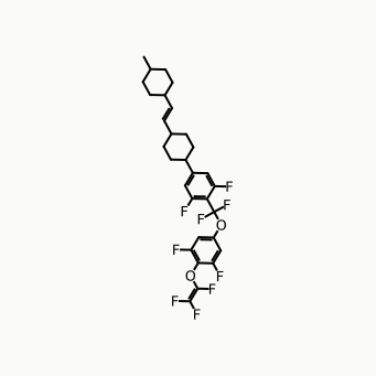 CC1CCC(/C=C/C2CCC(c3cc(F)c(C(F)(F)Oc4cc(F)c(OC(F)=C(F)F)c(F)c4)c(F)c3)CC2)CC1